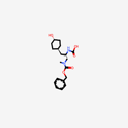 CN(C[C@H](C[C@H]1CC[C@H](O)CC1)NC(=O)O)C(=O)OCc1ccccc1